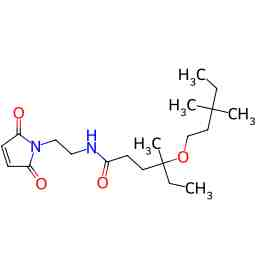 CCC(C)(C)CCOC(C)(CC)CCC(=O)NCCN1C(=O)C=CC1=O